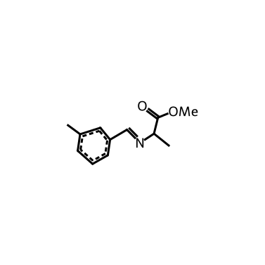 COC(=O)C(C)N=Cc1cccc(C)c1